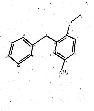 COc1ccc(N)nc1Cc1ccccc1